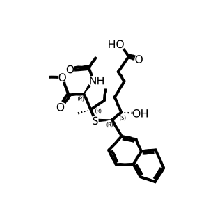 CC[C@@](C)(S[C@H](c1ccc2ccccc2c1)[C@@H](O)CCCC(=O)O)[C@H](NC(C)=O)C(=O)OC